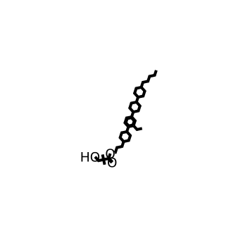 CCCCCC1CCC(C2CCC(c3ccc(C4CCC(CCCOC(=O)C(C)(C)CO)CC4)c(CC)c3)CC2)CC1